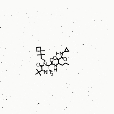 CCCC(NC(=O)[C@H](CC)N(CCC(C)(C)C1(C)CCC1)C(=O)[C@@H](N)C(C)(C)C)C(=O)C(=O)NC1CC1